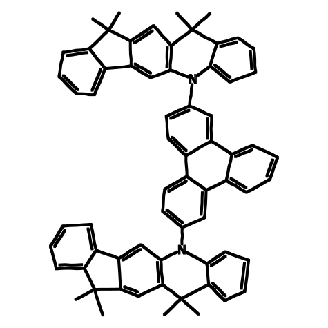 CC1(C)c2ccccc2-c2cc3c(cc21)C(C)(C)c1ccccc1N3c1ccc2c3ccc(N4c5ccccc5C(C)(C)c5cc6c(cc54)-c4ccccc4C6(C)C)cc3c3ccccc3c2c1